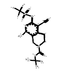 Cc1nc(OS(=O)(=O)C(F)(F)F)c(C#N)c2c1CN(C(=O)OC(C)(C)C)CC2